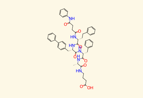 C[C@H](NC(=O)[C@@H](Cc1ccccc1)NC(=O)[C@H](Cc1ccc(-c2ccccc2)cc1)NC(=O)[C@@H](CCc1ccccc1)NC(=O)CCC(=O)Nc1ccccc1)C(=O)NCCCC(=O)O